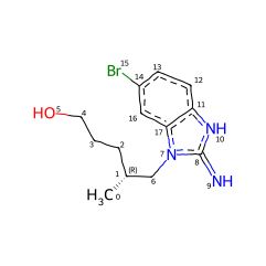 C[C@H](CCCO)Cn1c(=N)[nH]c2ccc(Br)cc21